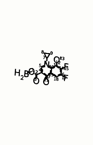 BOC(=O)c1cn(C2CC2)c2c(OC)c(F)c(F)cc2c1=O